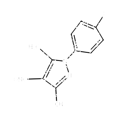 Cc1nn(-c2ccc(F)cc2)c(C)c1C=O